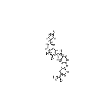 CNC(=O)N1CCN(Cc2ccc3[nH]c(-c4cc5cc(-c6cnn(C)c6)ccc5[nH]c4=O)cc3c2)CC1